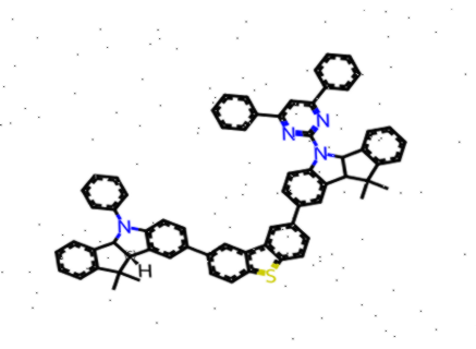 CC1(C)c2ccccc2C2C1c1cc(-c3ccc4sc5ccc(-c6ccc7c(c6)[C@H]6C(c8ccccc8C6(C)C)N7c6ccccc6)cc5c4c3)ccc1N2c1nc(-c2ccccc2)cc(-c2ccccc2)n1